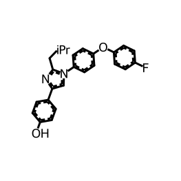 CC(C)Cc1nc(-c2ccc(O)cc2)cn1-c1ccc(Oc2ccc(F)cc2)cc1